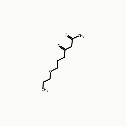 CCCOCCCC(=O)CC(C)=O